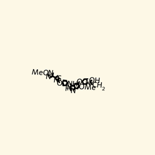 C=CC(O)N1CCC(Oc2cc3c(Nc4ccc(Oc5nc(-c6cnc(OC)nc6)cs5)cc4F)ncnc3cc2OC)CC1